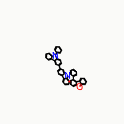 c1ccc(-n2c3ccccc3c3cc(-c4ccc5c6ccccc6n(-c6ccccc6-c6cccc7oc8ccccc8c67)c5c4)ccc32)cc1